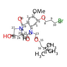 COc1cc2c(cc1OCCCBr)N(COCC[Si](C)(C)C)C(=O)[C@@H]1C[C@@H](O)CN1C2=O